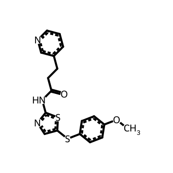 COc1ccc(Sc2cnc(NC(=O)CCc3cccnc3)s2)cc1